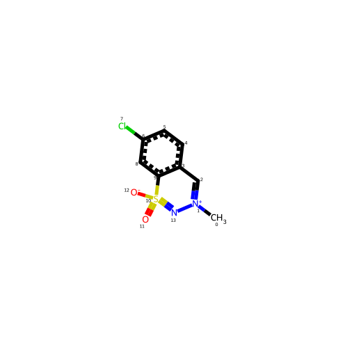 C[N+]1=Cc2ccc(Cl)cc2S(=O)([O-])=N1